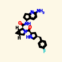 Nc1ccc2c(n1)CC[C@H]2NC(=O)[C@H]1[C@H]2C[C@H]2CN1C(=O)[C@H]1C[C@H](Cc2ccc(F)cc2)CN1